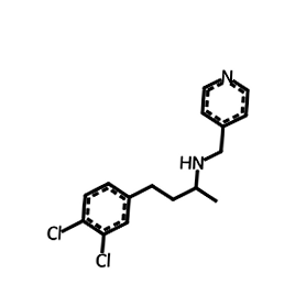 CC(CCc1ccc(Cl)c(Cl)c1)NCc1ccncc1